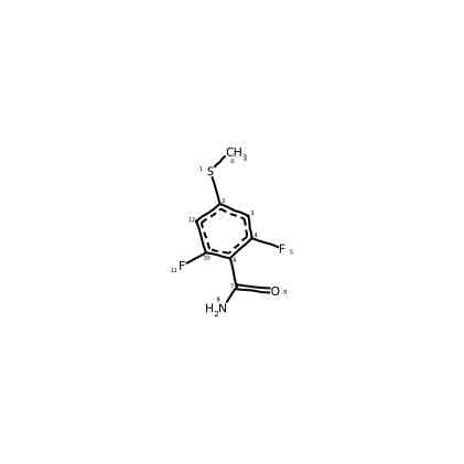 CSc1cc(F)c(C(N)=O)c(F)c1